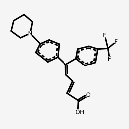 O=C(O)C=CC=C(c1ccc(N2CCCCC2)cc1)c1ccc(C(F)(F)F)cc1